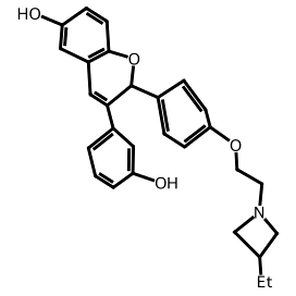 CCC1CN(CCOc2ccc(C3Oc4ccc(O)cc4C=C3c3cccc(O)c3)cc2)C1